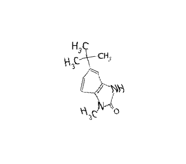 Cn1c(=O)[nH]c2cc(C(C)(C)C)ccc21